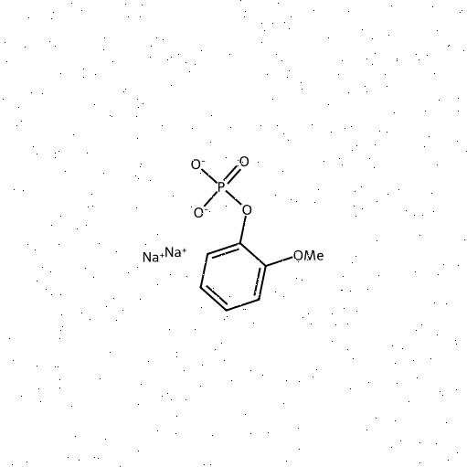 COc1ccccc1OP(=O)([O-])[O-].[Na+].[Na+]